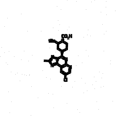 Cc1nc2c3cc(Cl)cnc3nc(N3CCN(C(=O)O)C(C(C)(C)C)C3)n2n1